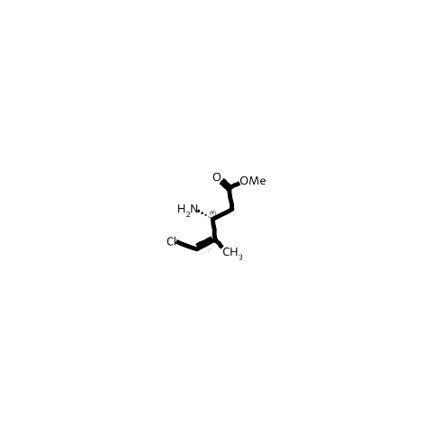 COC(=O)C[C@@H](N)/C(C)=C\Cl